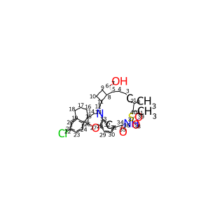 CC1CCC[C@@H](CO)C2CCC2CN2CC3(CCCc4cc(Cl)ccc43)COc3ccc(cc32)C(=O)NS(=O)(=O)C1C